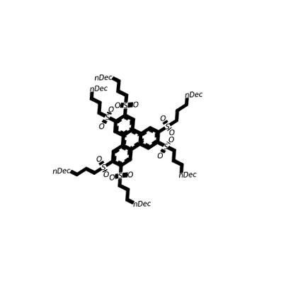 CCCCCCCCCCCCCS(=O)(=O)c1cc2c3cc(S(=O)(=O)CCCCCCCCCCCCC)c(S(=O)(=O)CCCCCCCCCCCCC)cc3c3cc(S(=O)(=O)CCCCCCCCCCCCC)c(S(=O)(=O)CCCCCCCCCCCCC)cc3c2cc1S(=O)(=O)CCCCCCCCCCCCC